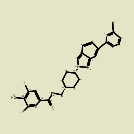 Cc1cccc(-c2ccc3cn([C@H]4CC[C@H](CNC(=O)c5cc(F)c(O)c(F)c5)CC4)nc3c2)n1